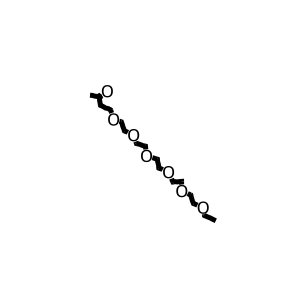 CCOCCOCCOCCOCCOCCOCCC(C)=O